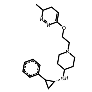 CC1CC=C(OCCN2CCC(N[C@@H]3CC3c3ccccc3)CC2)N=N1